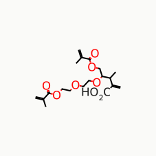 C=C(C)C(=O)OCCOCCOC(COC(=O)C(=C)C)C(C)C(=C)C(=O)O